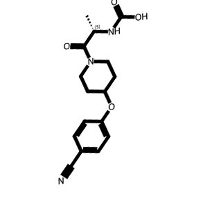 C[C@H](NC(=O)O)C(=O)N1CCC(Oc2ccc(C#N)cc2)CC1